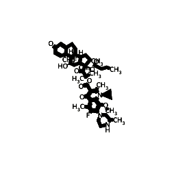 CCCC(=O)O[C@]1(C(=O)C(C)(C)OC(=O)c2c(C)n(C3CC3)c3c(OC)c(N4CCNC(C)C4)c(F)c(C)c3c2=O)[C@@H](C)C[C@H]2[C@@H]3CCC4=CC(=O)C=C[C@]4(C)[C@@]3(F)[C@@H](O)C[C@@]21C